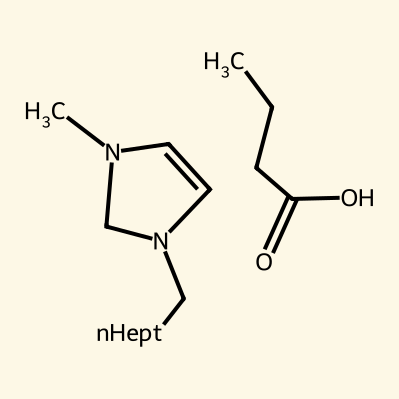 CCCC(=O)O.CCCCCCCCN1C=CN(C)C1